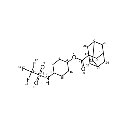 O=C(OC1CCC(NS(=O)(=O)C(F)(F)F)CC1)C12CC3CC(CC(C3)C1)C2